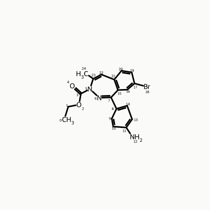 CCOC(=O)N1N=C(c2ccc(N)cc2)c2cc(Br)ccc2C=C1C